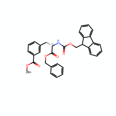 CCCCOC(=O)c1cccc(C[C@H](NC(=O)OCC2c3ccccc3-c3ccccc32)C(=O)OCc2ccccc2)c1